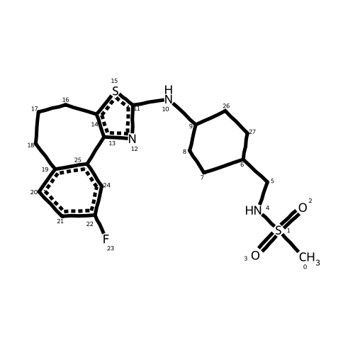 CS(=O)(=O)NCC1CCC(Nc2nc3c(s2)CCCc2ccc(F)cc2-3)CC1